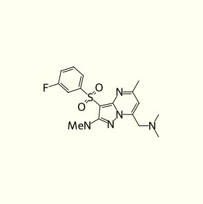 CNc1nn2c(CN(C)C)cc(C)nc2c1S(=O)(=O)c1cccc(F)c1